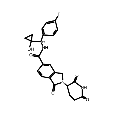 O=C1CCC(N2Cc3cc(C(=O)N[C@H](c4ccc(F)cc4)C4(O)CC4)ccc3C2=O)C(=O)N1